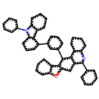 c1ccc(-c2nc3ccccc3c3c(-c4cccc(-c5cccc6c5c5ccccc5n6-c5ccccc5)c4)c4c(cc23)oc2ccccc24)cc1